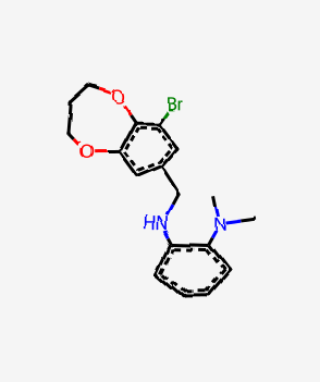 CN(C)c1ccccc1NCc1cc(Br)c2c(c1)OCCCO2